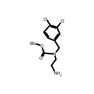 CC(C)(C)OC(=O)N(CCN)Cc1ccc(Cl)c(Cl)c1